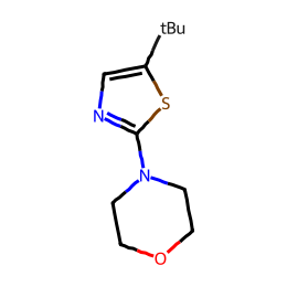 CC(C)(C)c1cnc(N2CCOCC2)s1